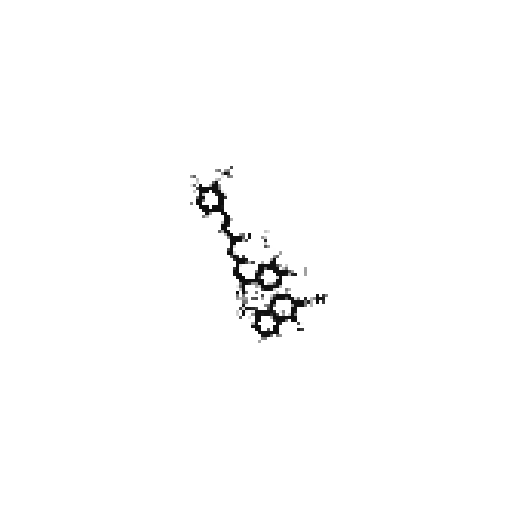 COc1cc(C=CC(=O)CC(=O)C=C(OS(=O)(=O)c2cccc3c2C=CC(=[N+]=[N-])C3=O)c2ccc(O)c(OC)c2)ccc1O